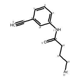 C#Cc1cccc(NC(=O)CCCC(C)=O)c1